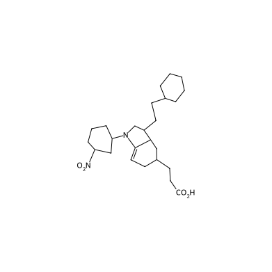 O=C(O)CCC1CC=C2C(C1)C(CCC1CCCCC1)CN2C1CCCC([N+](=O)[O-])C1